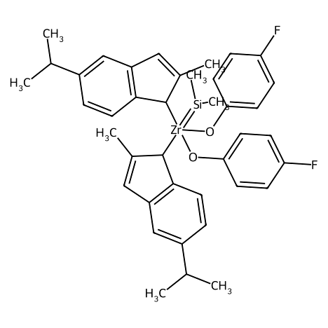 CC1=Cc2cc(C(C)C)ccc2[CH]1[Zr]([O]c1ccc(F)cc1)([O]c1ccc(F)cc1)([CH]1C(C)=Cc2cc(C(C)C)ccc21)=[Si](C)C